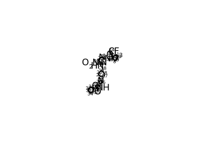 O=[N+]([O-])c1cnc(NCc2ccccc2OC(F)(F)F)nc1NC[C@H]1CC[C@H](N2CC(NS(=O)(=O)c3ccccc3)C2)CC1